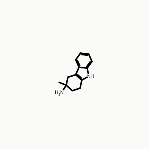 CC1(N)CCc2[nH]c3ccccc3c2C1